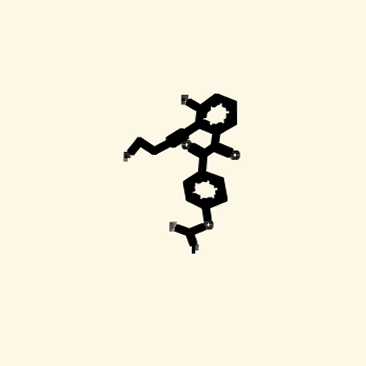 O=C(C(=O)c1cccc(F)c1C#CCCF)c1ccc(OC(F)F)cc1